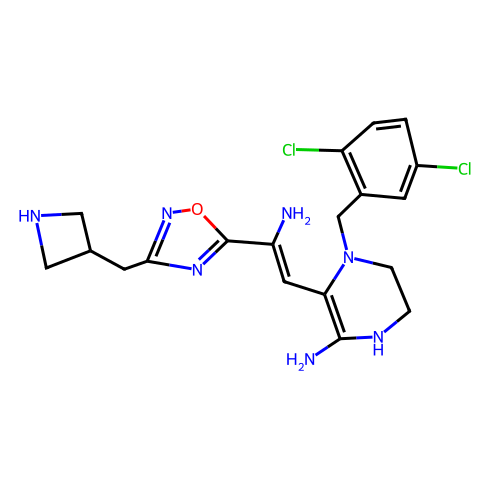 NC1=C(/C=C(\N)c2nc(CC3CNC3)no2)N(Cc2cc(Cl)ccc2Cl)CCN1